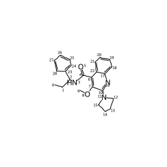 CCC(NC(=O)c1c(OC)c(N2CCCC2)nc2ccccc12)c1ccccc1